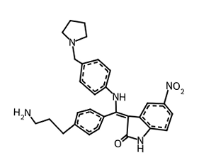 NCCCc1ccc(C(Nc2ccc(CN3CCCC3)cc2)=C2C(=O)Nc3ccc([N+](=O)[O-])cc32)cc1